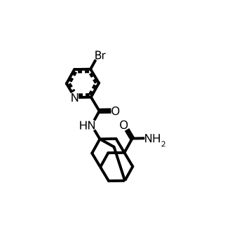 NC(=O)C12CC3CC(CC(NC(=O)c4cc(Br)ccn4)(C3)C1)C2